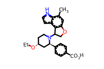 CCO[C@@H]1CCN(C2COc3cc(C)c4[nH]ccc4c32)[C@@H](c2ccc(C(=O)O)cc2)C1